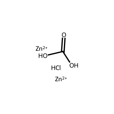 Cl.O=C(O)O.[Zn+2].[Zn+2]